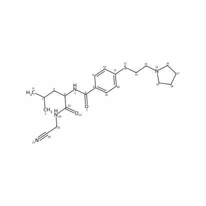 CC(C)CC(NC(=O)c1ccc(SCCN2CCCC2)cc1)C(=O)NCC#N